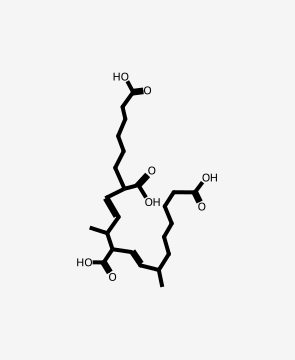 CC(C=CC(C(=O)O)C(C)C=CC(CCCCCC(=O)O)C(=O)O)CCCCCC(=O)O